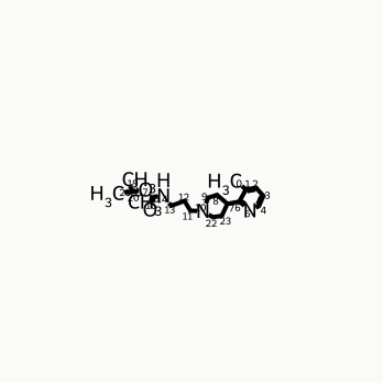 Cc1cccnc1C1CCN(CCCNC(=O)OC(C)(C)C)CC1